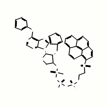 O=P(O)(OCCS(=O)(=O)c1ccc2ccc3cccc4ccc1c2c34)OP(=O)(O)OP(=O)(O)OC1CO[C@@H](n2cnc3c(Nc4ccccc4)ncnc32)[C@H]1Oc1ccccc1